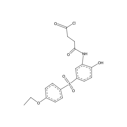 CCOc1ccc(S(=O)(=O)c2ccc(O)c(NC(=O)CCC(=O)Cl)c2)cc1